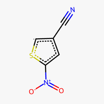 N#Cc1[c]sc([N+](=O)[O-])c1